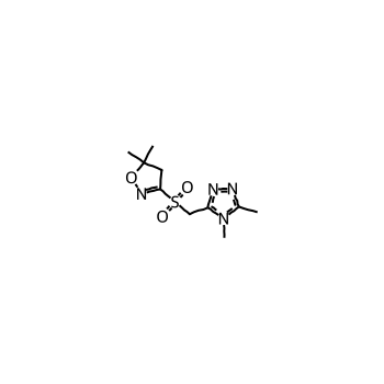 Cc1nnc(CS(=O)(=O)C2=NOC(C)(C)C2)n1C